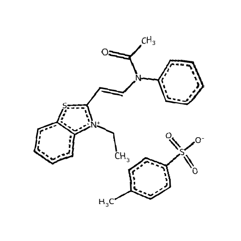 CC[n+]1c(C=CN(C(C)=O)c2ccccc2)sc2ccccc21.Cc1ccc(S(=O)(=O)[O-])cc1